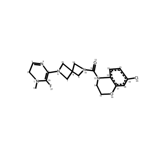 CN1CC=NC(N2CC3(CN(C(=O)N4CCOc5cc(Cl)ccc54)C3)C2)=C1F